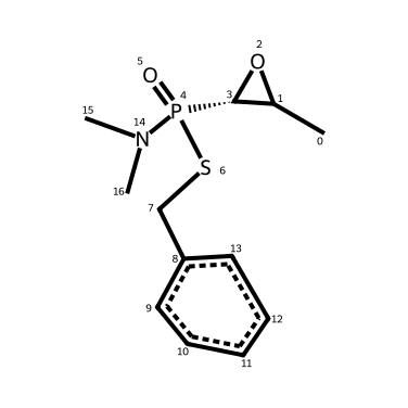 CC1O[C@H]1P(=O)(SCc1ccccc1)N(C)C